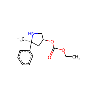 CCOC(=O)OC1CN[C@](C)(c2ccccc2)C1